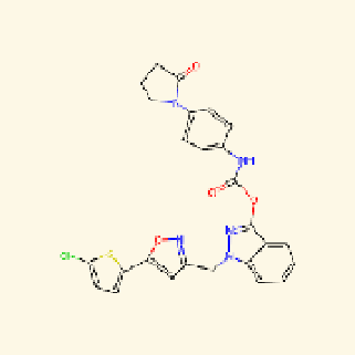 O=C(Nc1ccc(N2CCCC2=O)cc1)Oc1nn(Cc2cc(-c3ccc(Cl)s3)on2)c2ccccc12